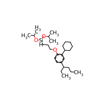 CCCC(CC)c1ccc(OCCC[SiH](OC(C)C)OC(C)C)c(C2CCCCC2)c1